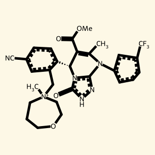 COC(=O)C1=C(C)N(c2cccc(C(F)(F)F)c2)c2n[nH]c(=O)n2[C@@H]1c1ccc(C#N)cc1C[N+]1(C)CCCOCC1